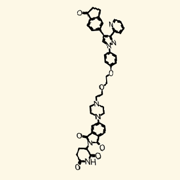 O=C1CCC(N2C(=O)c3ccc(N4CCN(CCOCCOc5ccc(-n6cc(-c7ccc8c(c7)CCC8=O)c(-c7ccccn7)n6)cc5)CC4)cc3C2=O)C(=O)N1